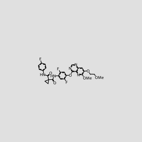 COCCOc1cc2ncnc(Oc3cc(F)c(NC(=O)C4(C(=O)Nc5ccc(F)cc5)CC4)cc3F)c2nc1OC